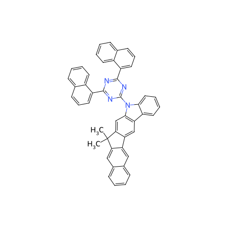 CC1(C)c2cc3ccccc3cc2-c2cc3c4ccccc4n(-c4nc(-c5cccc6ccccc56)nc(-c5cccc6ccccc56)n4)c3cc21